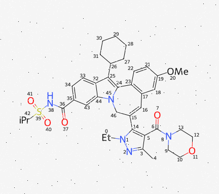 CCn1nc(C)c(C(=O)N2CCOCC2)c1C1=Cc2cc(OC)ccc2-c2c(C3CCCCC3)c3ccc(C(=O)NS(=O)(=O)C(C)C)cc3n2C1